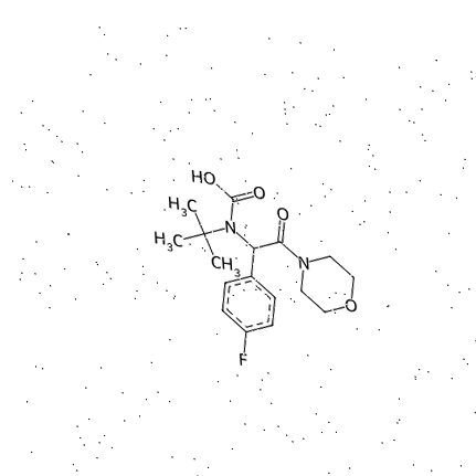 CC(C)(C)N(C(=O)O)C(C(=O)N1CCOCC1)c1ccc(F)cc1